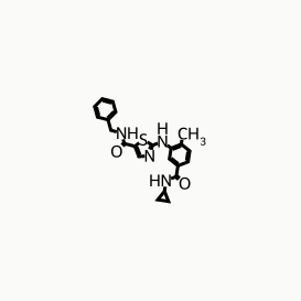 Cc1ccc(C(=O)NC2CC2)cc1Nc1ncc(C(=O)NCc2ccccc2)s1